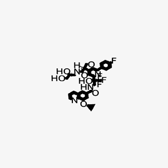 C[C@]1(C(=O)NC[C@H](O)CO)COc2c1cc([C@@](O)(CNC(=O)c1cc(OC3CC3)c3ncccc3c1)C(F)(F)F)nc2-c1ccc(F)cc1